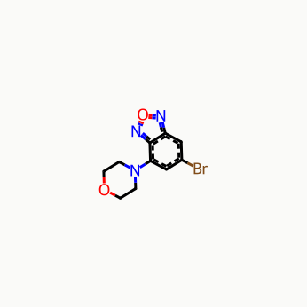 Brc1cc(N2CCOCC2)c2nonc2c1